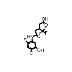 O=C(O)CC(CC(=O)Nc1cc(O)c(Cl)cc1F)C(F)(F)F